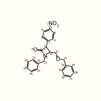 O=C1C(c2ccc([N+](=O)[O-])cc2)C(COCc2ccccc2)N1Cc1ccccc1